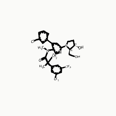 CN(C(=O)C(C)(C)c1cc(C(F)(F)F)cc(C(F)(F)F)c1)c1cnc(N2CC[C@H](O)[C@H]2CO)cc1-c1cccc(Cl)c1